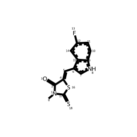 CN1C(=O)/C(=C/c2c[nH]c3ccc(F)cc23)SC1=S